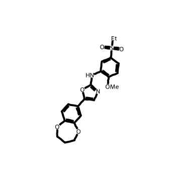 CCS(=O)(=O)c1ccc(OC)c(Nc2ncc(-c3ccc4c(c3)OCCCO4)o2)c1